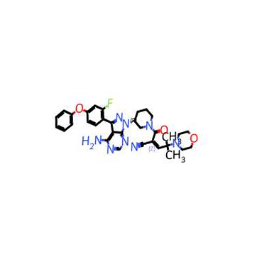 CC(C)(/C=C(/C#N)C(=O)N1CCC[C@@H](n2nc(-c3ccc(Oc4ccccc4)cc3F)c3c(N)ncnc32)C1)N1CCOCC1